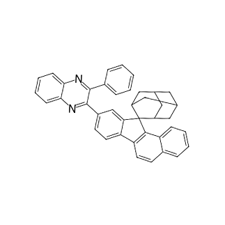 c1ccc(-c2nc3ccccc3nc2-c2ccc3c(c2)C2(c4c-3ccc3ccccc43)C3CC4CC(C3)CC2C4)cc1